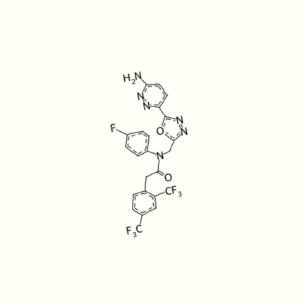 Nc1ccc(-c2nnc(CN(C(=O)Cc3ccc(C(F)(F)F)cc3C(F)(F)F)c3ccc(F)cc3)o2)nn1